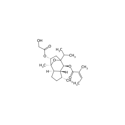 C/C=C(/C)C(=O)O[C@H]1[C@@H]2[C@H](C)CC[C@H]2[C@]2(C)OC1(C(C)C)C[C@H]2OC(=O)CO